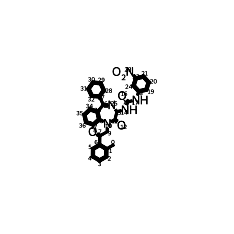 Cc1ccccc1C(=O)CN1C(=O)C(NC(=O)Nc2cccc([N+](=O)[O-])c2)N=C(c2ccccc2)c2ccccc21